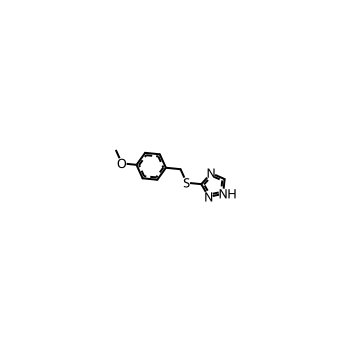 COc1ccc(CSc2nc[nH]n2)cc1